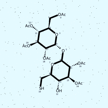 CC(=O)OC[C@H]1O[C@H](OC2O[C@H](CS)[C@@H](O)[C@H](OC(C)=O)[C@H]2OC(C)=O)[C@H](OC(C)=O)[C@@H](OC(C)=O)[C@@H]1OC(C)=O